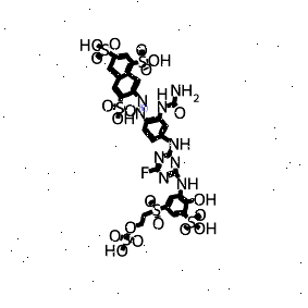 NC(=O)Nc1cc(Nc2nc(F)nc(Nc3cc(S(=O)(=O)CCOS(=O)(=O)O)cc(S(=O)(=O)O)c3O)n2)ccc1/N=N/c1cc2c(S(=O)(=O)O)cc(S(=O)(=O)O)cc2cc1S(=O)(=O)O